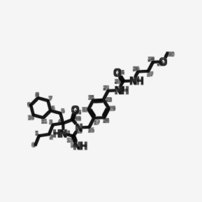 CCCCC1(CC2CCCCC2)NC(=N)N(Cc2ccc(CNC(=O)NCCCOC)cc2)C1=O